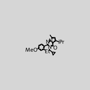 CCc1cc(OC)ccc1-c1nn2c(C)cc(C(C)C)c2c(=O)n1CC1CC1